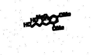 COc1cc(OC)c(CC(O)CC(O)CO)c(OC)c1